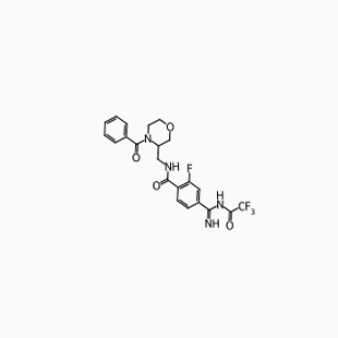 N=C(NC(=O)C(F)(F)F)c1ccc(C(=O)NCC2COCCN2C(=O)c2ccccc2)c(F)c1